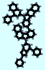 c1ccc(-c2cc3nc(-n4c5cccc(-c6ccc7c(c6)c6cc8ccccc8cc6n7-c6nc(-c7ccccc7)c7ccccc7n6)c5c5c6ccccc6ccc54)nc(-c4ccccc4)c3s2)cc1